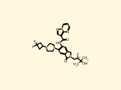 CC(C)(O)[C@H](F)CN1Cc2cc(NC(=O)c3cnn4cccnc34)c(N3CCN(C4CC(F)(F)C4)CC3)cc2C1=O